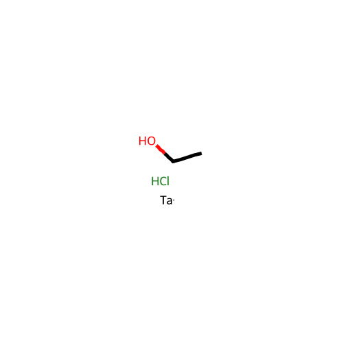 CCO.Cl.[Ta]